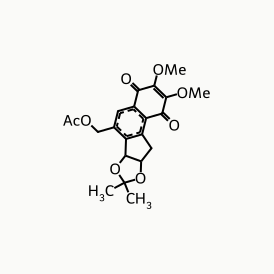 COC1=C(OC)C(=O)c2c(cc(COC(C)=O)c3c2CC2OC(C)(C)OC32)C1=O